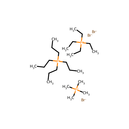 CCC[P+](CCC)(CCC)CCC.CC[P+](CC)(CC)CC.C[P+](C)(C)C.[Br-].[Br-].[Br-]